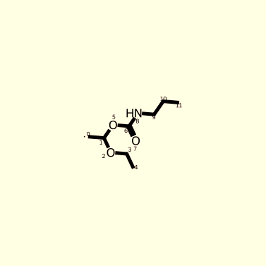 [CH2]C(OCC)OC(=O)NCCC